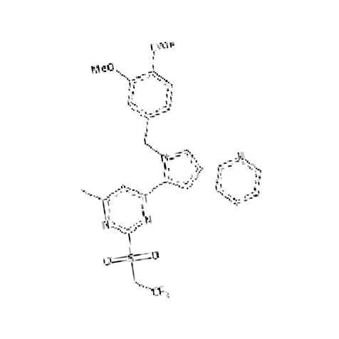 COc1ccc(Cn2cccc2-c2cc(C)nc(S(=O)(=O)CC(F)(F)F)n2)cc1OC.c1ccncc1